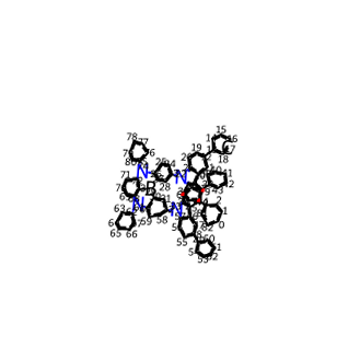 c1ccc(-c2ccc3c(c2)c2cc(-c4ccccc4)ccc2n3-c2ccc3c(c2)B2c4cc(-n5c6ccc(-c7ccccc7)cc6c6cc(-c7ccccc7)ccc65)ccc4N(c4ccccc4)c4cccc(c42)N3c2ccccc2)cc1